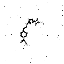 CC(C)(C)OC(=O)N1CCC(CCSc2ccc(S(N)(=O)=O)s2)CC1